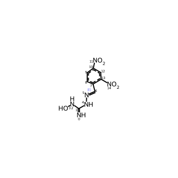 N=C(NO)N/N=C/c1ccc([N+](=O)[O-])cc1[N+](=O)[O-]